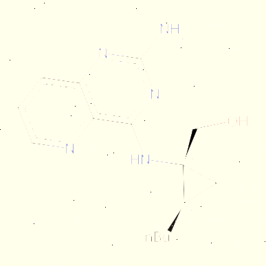 CCCC[C@@H]1C[C@@]1(CO)Nc1nc(N)nc2cccnc12